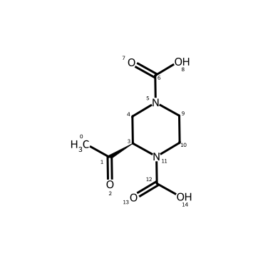 CC(=O)[C@H]1CN(C(=O)O)CCN1C(=O)O